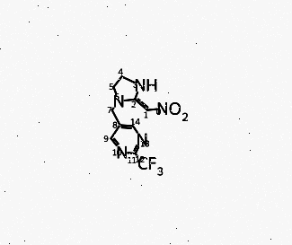 O=[N+]([O-])C=C1NCCN1Cc1cnc(C(F)(F)F)nc1